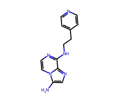 Nc1cnc2c(NCCc3ccncc3)nccn12